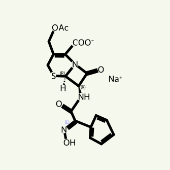 CC(=O)OCC1=C(C(=O)[O-])N2C(=O)[C@@H](NC(=O)/C(=N/O)c3ccccc3)[C@H]2SC1.[Na+]